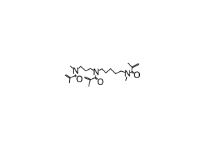 C=C(C)C(=O)N(C)CCCCCN(CCCN(C)C(=O)C(=C)C)C(=O)C(=C)C